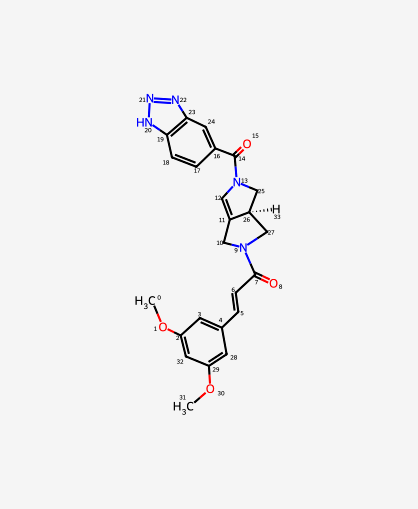 COc1cc(C=CC(=O)N2CC3=CN(C(=O)c4ccc5[nH]nnc5c4)C[C@H]3C2)cc(OC)c1